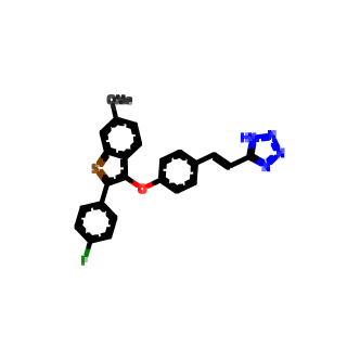 COc1ccc2c(Oc3ccc(C=Cc4nnn[nH]4)cc3)c(-c3ccc(F)cc3)sc2c1